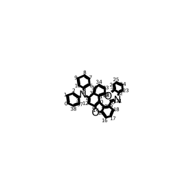 c1ccc(N(c2ccccc2)c2cc3oc4cccc(-c5nc6ccccc6o5)c4c3c3ccccc23)cc1